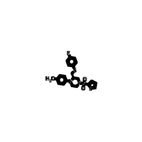 Cc1ccc(N2CCN(S(=O)(=O)c3cccs3)C[C@@H]2CSc2ccc(F)cc2)cc1